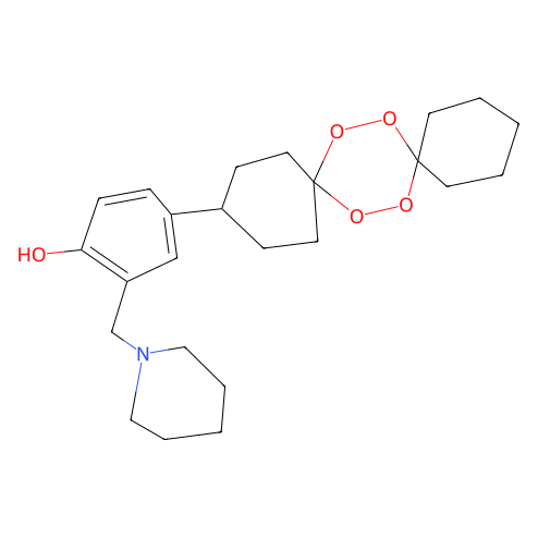 Oc1ccc(C2CCC3(CC2)OOC2(CCCCC2)OO3)cc1CN1CCCCC1